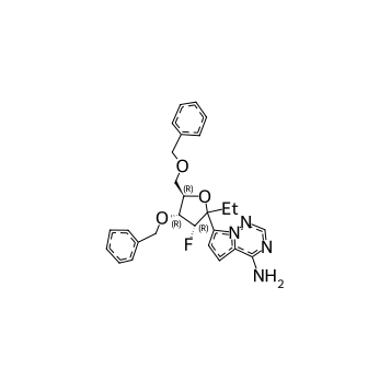 CCC1(c2ccc3c(N)ncnn23)O[C@H](COCc2ccccc2)[C@@H](OCc2ccccc2)[C@H]1F